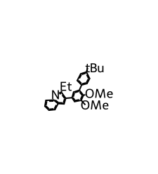 CCc1nc2ccccc2cc1-c1cc(OC)c(OC)c(-c2ccc(C(C)(C)C)cc2)c1